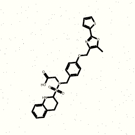 Cc1oc(-c2cccs2)nc1COc1ccc(CN(CC(=O)O)S(=O)(=O)C2CCc3ccccc3N2)cc1